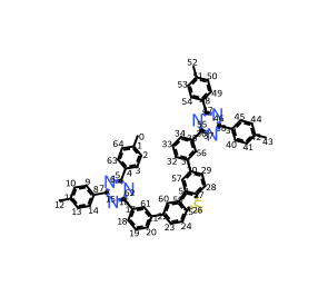 Cc1ccc(-c2nc(-c3ccc(C)cc3)nc(-c3cccc(-c4ccc5sc6ccc(-c7cccc(-c8nc(-c9ccc(C)cc9)nc(-c9ccc(C)cc9)n8)c7)cc6c5c4)c3)n2)cc1